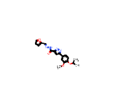 COc1cc(-c2cc(C(=O)N/N=C/c3ccco3)[nH]n2)ccc1OC(C)C